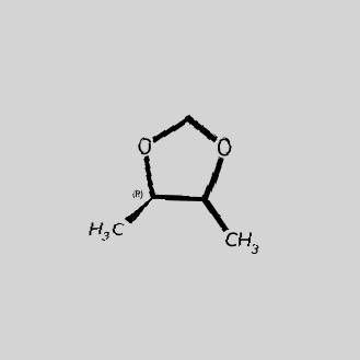 CC1OCO[C@@H]1C